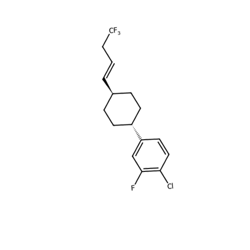 Fc1cc([C@H]2CC[C@H](C=CCC(F)(F)F)CC2)ccc1Cl